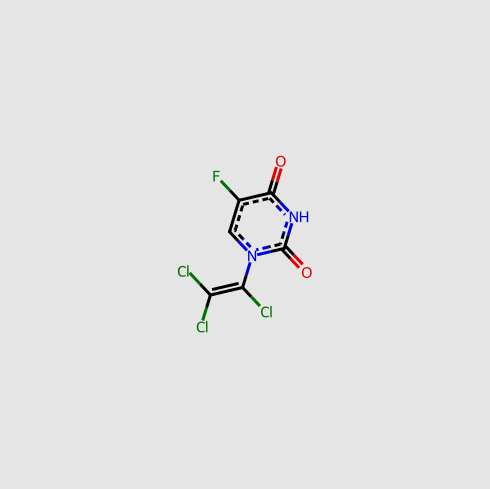 O=c1[nH]c(=O)n(C(Cl)=C(Cl)Cl)cc1F